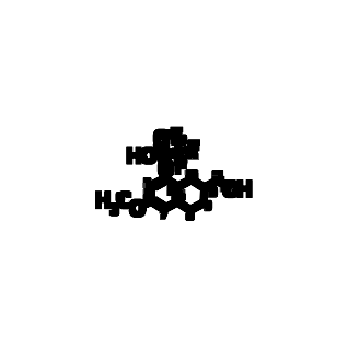 COc1ccc2c(c1)CCC(CO)C2.O=S(=O)(O)C(F)(F)F